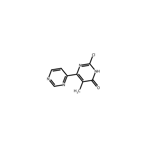 Cc1c(-c2ccncn2)nc(Cl)[nH]c1=O